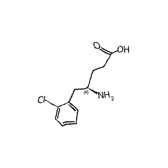 N[C@H](CCC(=O)O)Cc1ccccc1Cl